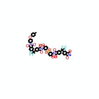 Cc1ccc(Oc2ccc(N3C(=O)c4ccc(C(C)(c5ccc6c(c5)C(=O)N(c5cc(S(=O)(=O)c7ccc(O)c(N8C(=O)c9ccc(C(C)(c%10ccc%11c(c%10)C(=O)N(C)C%11=O)C(F)(F)F)cc9C8=O)c7)ccc5O)C6=O)C(F)(F)F)cc4C3=O)cc2)cc1